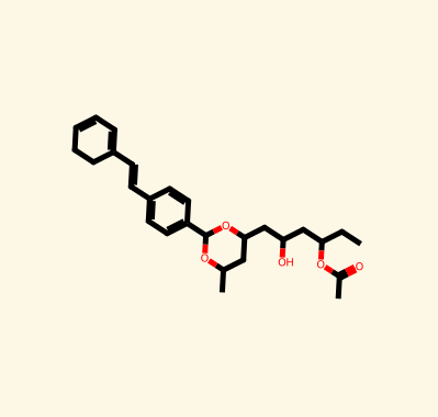 CCC(CC(O)CC1CC(C)OC(c2ccc(C=CC3=CC=CCC3)cc2)O1)OC(C)=O